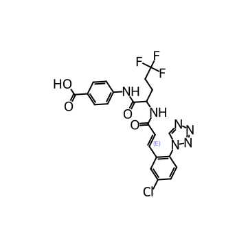 O=C(/C=C/c1cc(Cl)ccc1-n1cnnn1)NC(CCC(F)(F)F)C(=O)Nc1ccc(C(=O)O)cc1